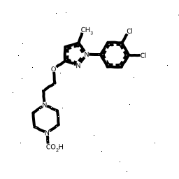 Cc1cc(OCCN2CCN(C(=O)O)CC2)nn1-c1ccc(Cl)c(Cl)c1